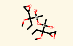 CCC(OC)(C1CO1)[Si](C)(O)O[Si](C)(O)C(CC)(OC)C1CO1